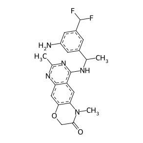 Cc1nc(NC(C)c2cc(N)cc(C(F)F)c2)c2cc3c(cc2n1)OCC(=O)N3C